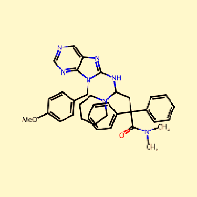 COc1ccc(Cn2c(NC(CC(C(=O)N(C)C)(c3ccccc3)c3ccccc3)N3CCCCC3)nc3cncnc32)cc1